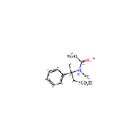 CCOC(=O)CC(C)(c1ccccc1)N(C(C)=O)C(=O)OC